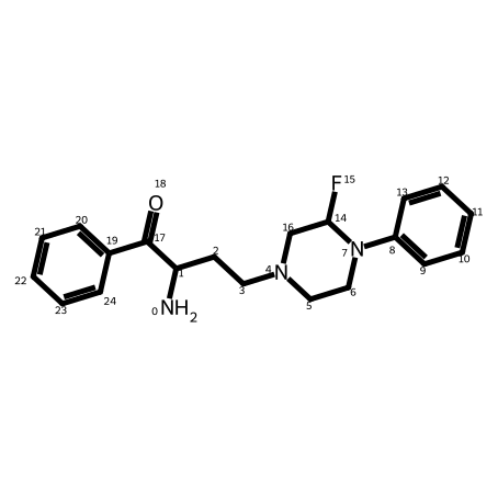 NC(CCN1CCN(c2ccccc2)C(F)C1)C(=O)c1ccccc1